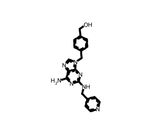 Nc1nc(NCc2ccncc2)nc2c1ncn2Cc1ccc(CO)cc1